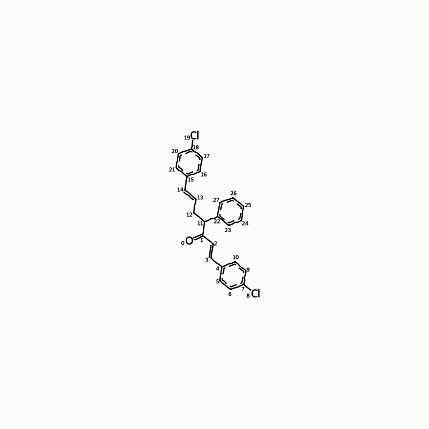 O=C(/C=C/c1ccc(Cl)cc1)C(C/C=C/c1ccc(Cl)cc1)c1ccccc1